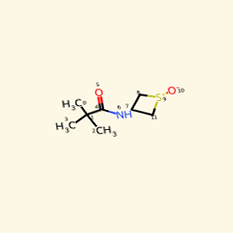 CC(C)(C)C(=O)NC1C[S+]([O-])C1